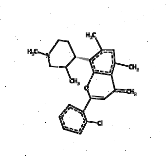 C=C1C=C(c2ccccc2Cl)Oc2c1c(C)cc(C)c2[C@H]1CCN(C)CC1C